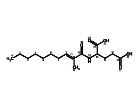 CCCCCCC/C=C(\C)C(=O)NC(CCC(=O)O)C(=O)O